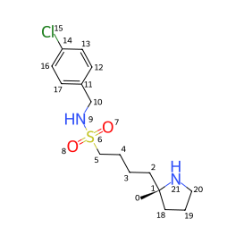 C[C@]1(CCCCS(=O)(=O)NCc2ccc(Cl)cc2)CCCN1